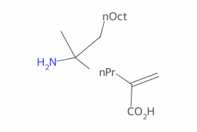 C=C(CCC)C(=O)O.CCCCCCCCCC(C)(C)N